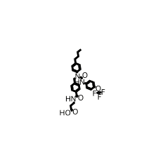 CCCCc1ccc(N(Cc2ccc(C(=O)NCCC(=O)O)cc2)C(=O)Nc2ccc(OC(F)(F)F)cc2)cc1